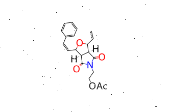 C=CC1OC(/C=C\c2ccccc2)[C@@H]2C(=O)N(CCOC(C)=O)C(=O)[C@H]12